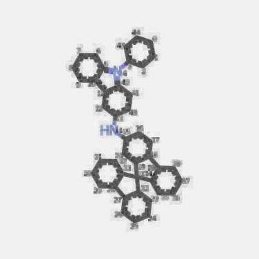 c1ccc(-n2c3ccccc3c3cc(Nc4ccc5c(c4)C4(c6ccccc6-c6ccccc64)c4ccccc4-5)ccc32)cc1